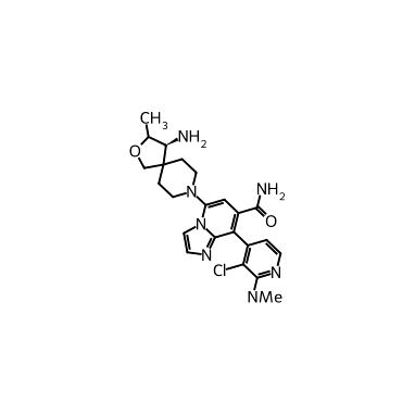 CNc1nccc(-c2c(C(N)=O)cc(N3CCC4(CC3)COC(C)[C@H]4N)n3ccnc23)c1Cl